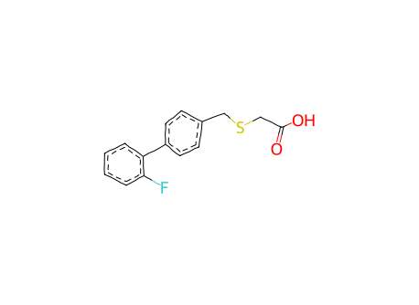 O=C(O)CSCc1ccc(-c2ccccc2F)cc1